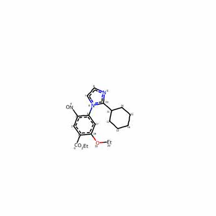 CCOC(=O)c1cc(N=O)c(-n2ccnc2C2CCCCC2)cc1OCC